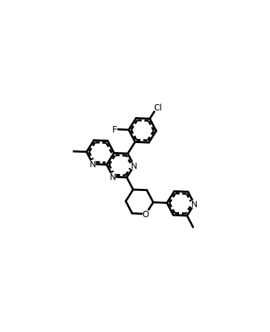 Cc1cc(C2CC(c3nc(-c4ccc(Cl)cc4F)c4ccc(C)nc4n3)CCO2)ccn1